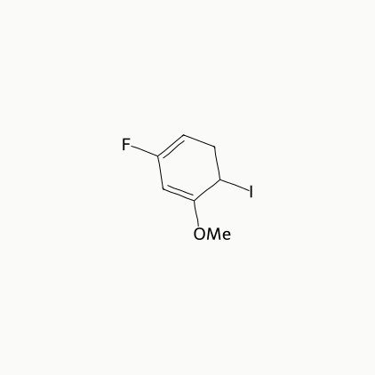 COC1=CC(F)=CCC1I